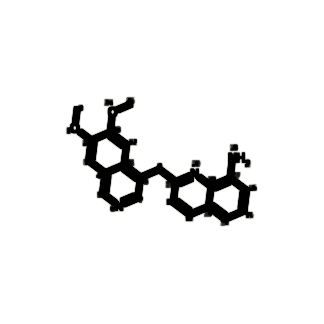 COc1cc2cncc(Cc3ccc4cccc(N)c4n3)c2cc1OC